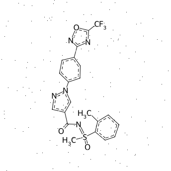 Cc1ccccc1S(C)(=O)=NC(=O)c1cnn(-c2ccc(-c3noc(C(F)(F)F)n3)cc2)c1